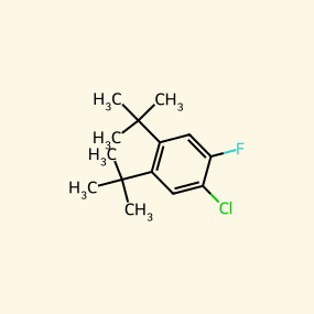 CC(C)(C)c1cc(F)c(Cl)cc1C(C)(C)C